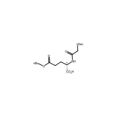 CCCCCCCCCCCC(=O)N[C@@H](CCC(=O)OCCCC)C(=O)O